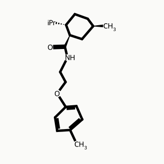 Cc1ccc(OCCNC(=O)[C@@H]2C[C@H](C)CC[C@H]2C(C)C)cc1